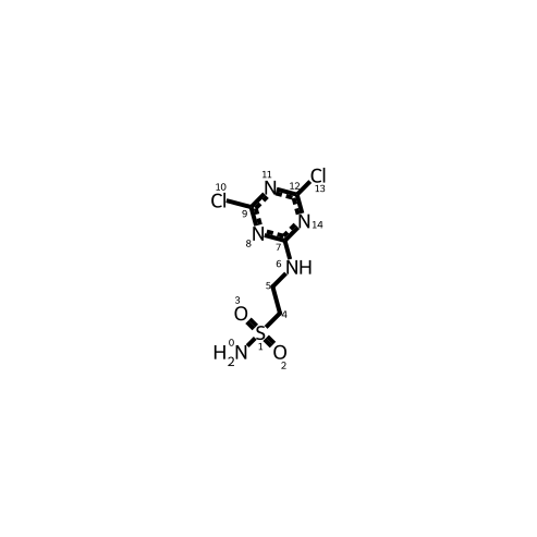 NS(=O)(=O)CCNc1nc(Cl)nc(Cl)n1